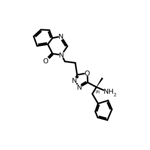 C[C@@](N)(Cc1ccccc1)c1nnc(CCn2cnc3ccccc3c2=O)o1